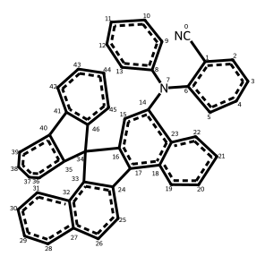 N#Cc1ccccc1N(c1ccccc1)c1cc2c(c3ccccc13)-c1ccc3ccccc3c1C21c2ccccc2-c2ccccc21